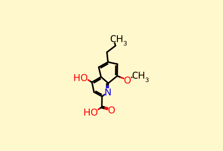 CCCc1cc(OC)c2nc(C(=O)O)cc(O)c2c1